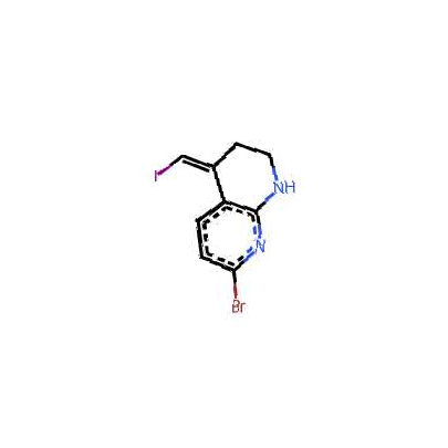 Brc1ccc2c(n1)NCC/C2=C/I